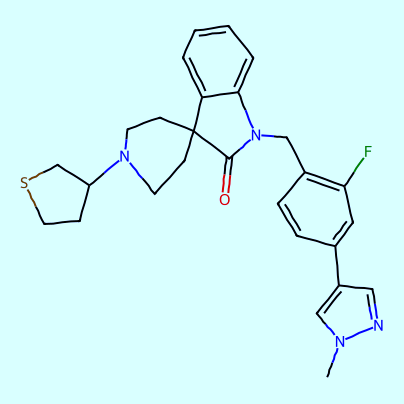 Cn1cc(-c2ccc(CN3C(=O)C4(CCN(C5CCSC5)CC4)c4ccccc43)c(F)c2)cn1